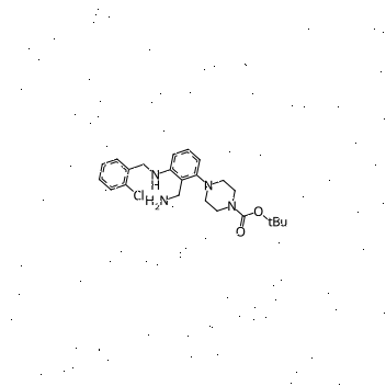 CC(C)(C)OC(=O)N1CCN(c2cccc(NCc3ccccc3Cl)c2CN)CC1